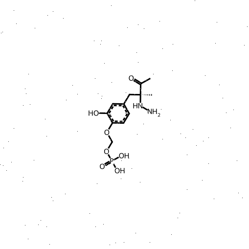 CC(=O)[C@](C)(Cc1ccc(OCOP(=O)(O)O)c(O)c1)NN